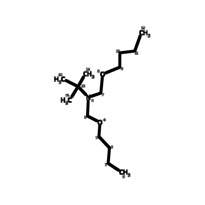 CCCCOCN(COCCCC)C(C)(C)C